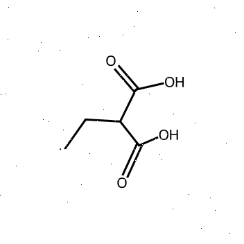 [CH2]CC(C(=O)O)C(=O)O